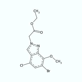 CCOC(=O)Cn1cc2c(Cl)cc(Br)c(OC)c2n1